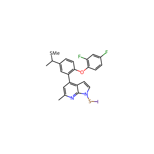 CSC(C)c1ccc(Oc2ccc(F)cc2F)c(-c2cc(C)nc3c2ccn3SI)c1